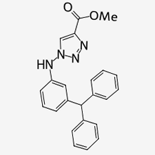 COC(=O)c1cn(Nc2cccc(C(c3ccccc3)c3ccccc3)c2)nn1